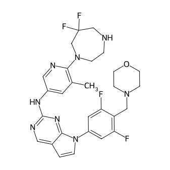 Cc1cc(Nc2ncc3ccn(-c4cc(F)c(CN5CCOCC5)c(F)c4)c3n2)cnc1N1CCNCC(F)(F)C1